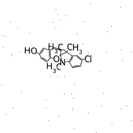 CN1c2ccc(Cl)cc2C(C)(C)C12C=Cc1cc(O)ccc1O2